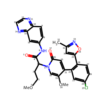 COCCC(C(=O)Nc1ccc2nccnc2c1)n1cc(OC)c(-c2cc(Cl)ccc2-c2cc(C)no2)cc1=O